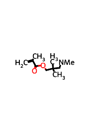 C=C(C)C(=O)OCC(C)(C)CNC